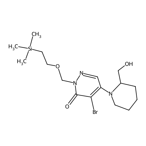 C[Si](C)(C)CCOCn1ncc(N2CCCCC2CO)c(Br)c1=O